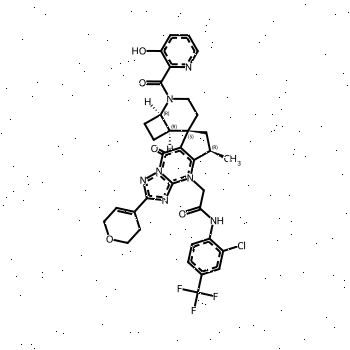 C[C@@H]1C[C@@]2(CCN(C(=O)c3ncccc3O)[C@@H]3CC[C@@H]32)c2c1n(CC(=O)Nc1ccc(C(F)(F)F)cc1Cl)c1nc(C3=CCOCC3)nn1c2=O